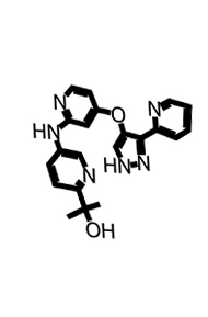 CC(C)(O)c1ccc(Nc2cc(Oc3c[nH]nc3-c3ccccn3)ccn2)cn1